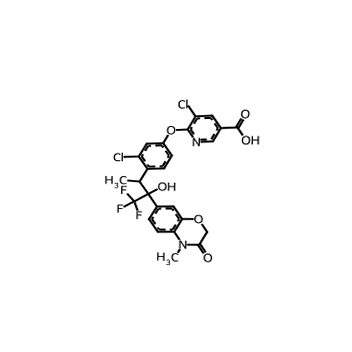 CC(c1ccc(Oc2ncc(C(=O)O)cc2Cl)cc1Cl)C(O)(c1ccc2c(c1)OCC(=O)N2C)C(F)(F)F